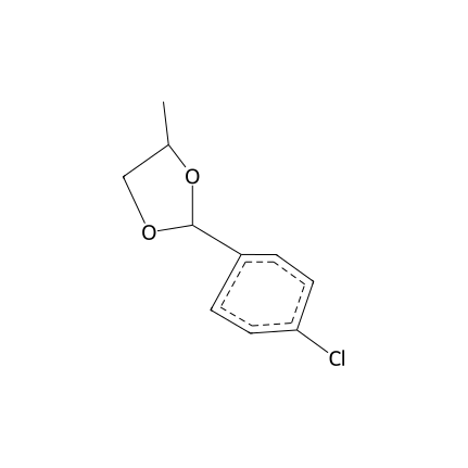 CC1COC(c2ccc(Cl)cc2)O1